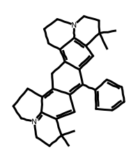 CC1(C)CCN2CCCc3c4c(cc1c32)C(c1ccccc1)=c1cc2c3c(c1C4)CCC[N+]=3CCC2(C)C